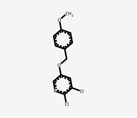 COc1ccc(COc2cnc(Cl)c(Cl)c2)cc1